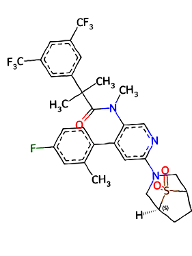 Cc1cc(F)ccc1-c1cc(N2CC3CC[C@@H](C2)S3(=O)=O)ncc1N(C)C(=O)C(C)(C)c1cc(C(F)(F)F)cc(C(F)(F)F)c1